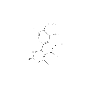 CC(=O)Nc1c(Br)cc(C2NC(=O)NC(C)=C2C(=O)OC(C)(C)C)cc1Br